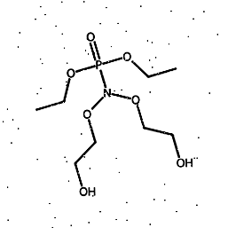 CCOP(=O)(OCC)N(OCCO)OCCO